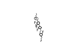 C=CCCc1ccc(CCc2ccc(-c3ccc(C4CCC(CCC)OC4)c(F)c3F)c(F)c2F)c(F)c1